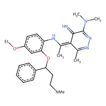 CCOc1ccc(N/C(C)=C2\C(=N)C(N(C)C)=NN=C2C)c(OC(CCNC)c2ccccc2)c1